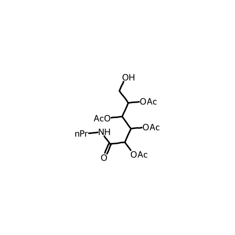 CCCNC(=O)C(OC(C)=O)C(OC(C)=O)C(OC(C)=O)C(CO)OC(C)=O